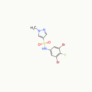 Cn1cc(S(=O)(=O)Nc2cc(Br)c(F)c(Br)c2)cn1